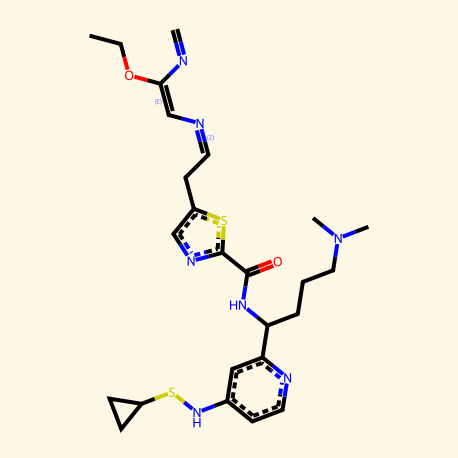 C=N/C(=C\N=C/Cc1cnc(C(=O)NC(CCCN(C)C)c2cc(NSC3CC3)ccn2)s1)OCC